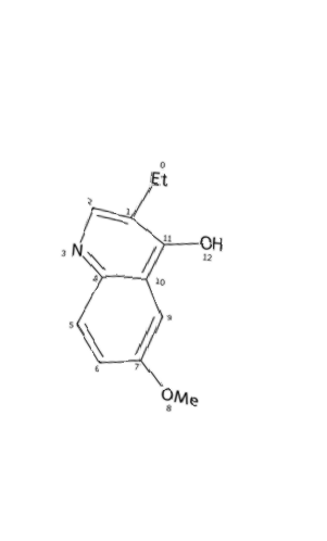 [CH2]Cc1cnc2ccc(OC)cc2c1O